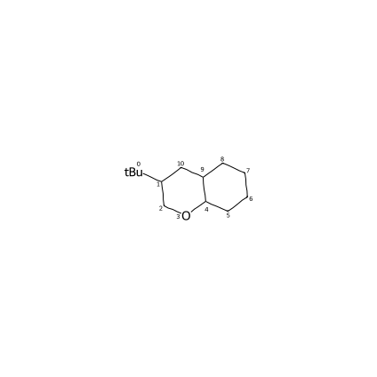 CC(C)(C)C1COC2CCCCC2C1